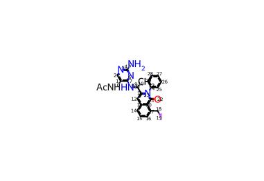 CC(=O)Nc1cnc(N)nc1N[C@@H](C)c1cc2cccc(CI)c2c(=O)n1-c1ccccc1